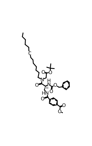 CCCCCCCCCCCCCCN(CC(=O)OC(C)(C)C)C(=O)[C@H](CNC(=O)c1ccc(C(=O)OC)cc1)NC(=O)OCc1ccccc1